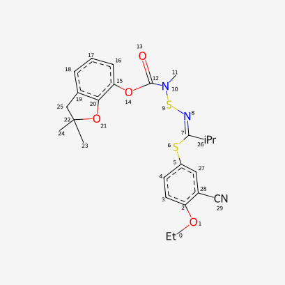 CCOc1ccc(SC(=NSN(C)C(=O)Oc2cccc3c2OC(C)(C)C3)C(C)C)cc1C#N